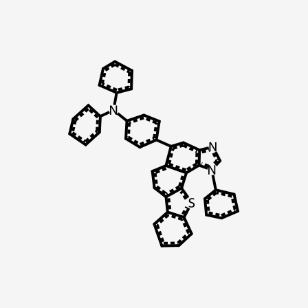 c1ccc(N(c2ccccc2)c2ccc(-c3cc4ncn(-c5ccccc5)c4c4c3ccc3c5ccccc5sc34)cc2)cc1